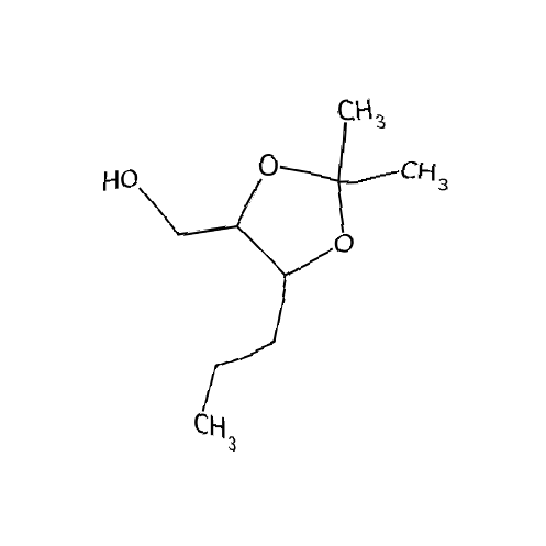 CCCC1OC(C)(C)OC1CO